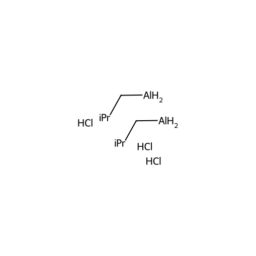 CC(C)[CH2][AlH2].CC(C)[CH2][AlH2].Cl.Cl.Cl